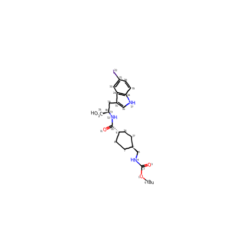 CC(C)(C)OC(=O)NC[C@H]1CC[C@H](C(=O)N[C@H](Cc2c[nH]c3ccc(I)cc23)C(=O)O)CC1